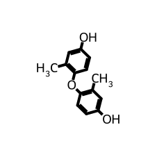 Cc1cc(O)ccc1Oc1ccc(O)cc1C